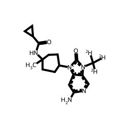 [2H]C([2H])([2H])n1c(=O)n(C2CCC(C)(NC(=O)C3CC3)CC2)c2cc(N)ncc21